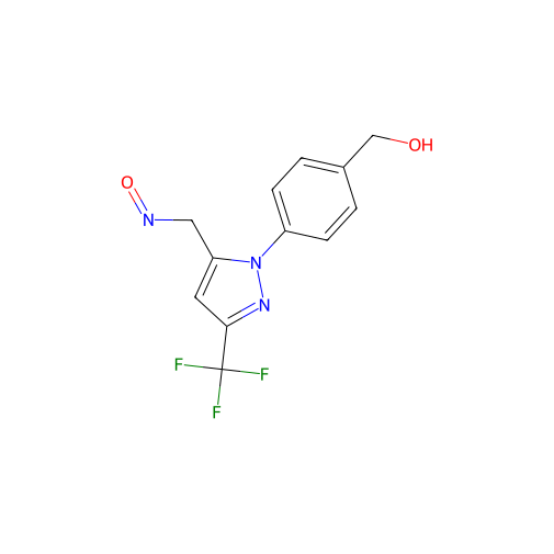 O=NCc1cc(C(F)(F)F)nn1-c1ccc(CO)cc1